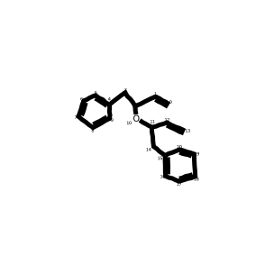 C=CC(Cc1ccccc1)OC(C=C)Cc1ccccc1